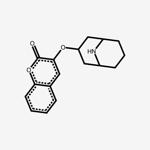 O=c1oc2ccccc2cc1OC1CC2CCCC(C1)N2